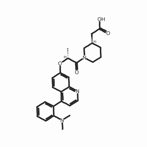 C[C@@H](Oc1ccc2c(-c3ccccc3N(C)C)ccnc2c1)C(=O)N1CCC[C@H](CC(=O)O)C1